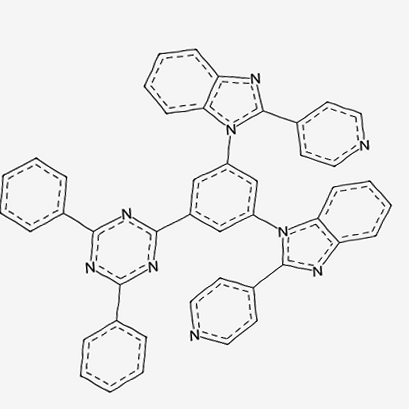 c1ccc(-c2nc(-c3ccccc3)nc(-c3cc(-n4c(-c5ccncc5)nc5ccccc54)cc(-n4c(-c5ccncc5)nc5ccccc54)c3)n2)cc1